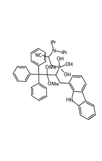 COC(OC)(C(Cc1cccc2c1[nH]c1ccccc12)P(O)(O)(O)CC(C#N)N(C(C)C)C(C)C)C(c1ccccc1)(c1ccccc1)c1ccccc1